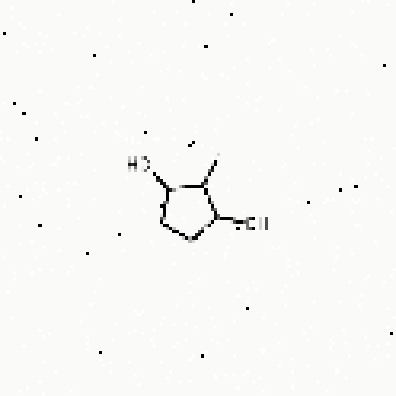 CC1[C](O)CCC1O